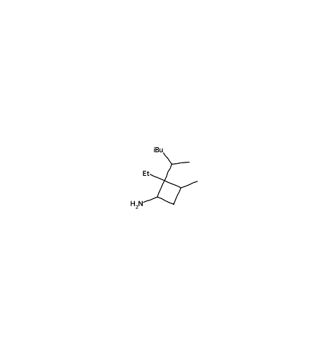 CCC(C)C(C)C1(CC)C(C)CC1N